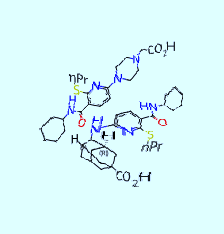 CCCSc1nc(N2CCN(CC(=O)O)CC2)ccc1C(=O)NC1CCCCC1.CCCSc1nc(NC2[C@@H]3CC4C[C@H]2CC(C(=O)O)(C4)C3)ccc1C(=O)NC1CCCCC1